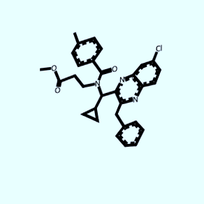 COC(=O)CCN(C(=O)c1ccc(C)cc1)C(c1nc2cc(Cl)ccc2nc1Cc1ccccc1)C1CC1